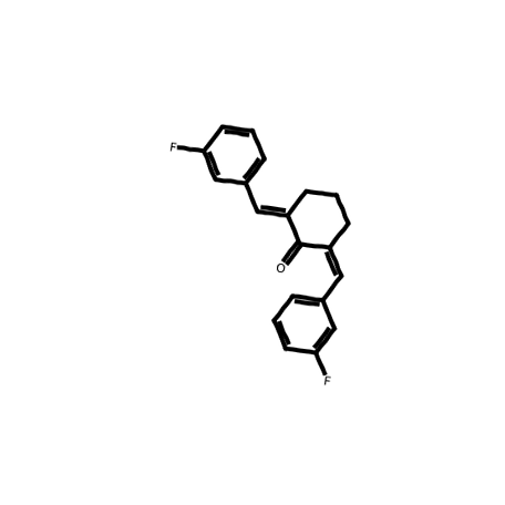 O=C1C(=Cc2cccc(F)c2)CCCC1=Cc1cccc(F)c1